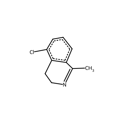 CC1=NCCc2c(Cl)cccc21